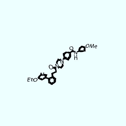 CCOc1cncc(-c2ccccc2CCC(=O)N2CCN(c3ccc(C(=O)Nc4ccc(OC)cc4)cc3)CC2)c1